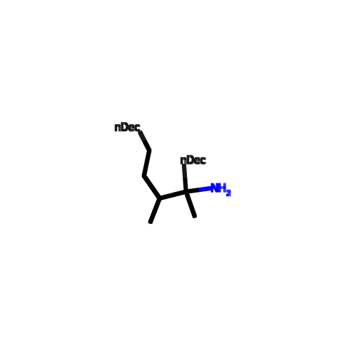 CCCCCCCCCCCCC(C)C(C)(N)CCCCCCCCCC